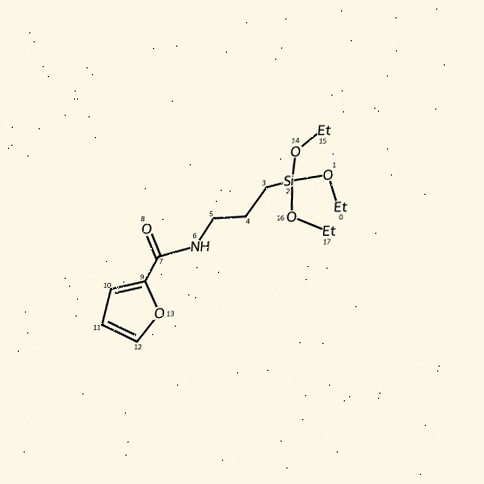 CCO[Si](CCCNC(=O)c1ccco1)(OCC)OCC